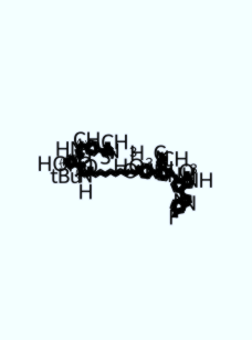 Cc1ncsc1-c1ccc([C@H](C)NC(=O)[C@@H]2C[C@@H](O)CN2C(=O)[C@@H](NC(=O)CCCCCCCOCC2(O)CCN(c3ccc(Nc4ccc(-c5cnc6cc(F)ccn56)c5c4C(=O)NC5)nc3CN(C)C)CC2)C(C)(C)C)cc1